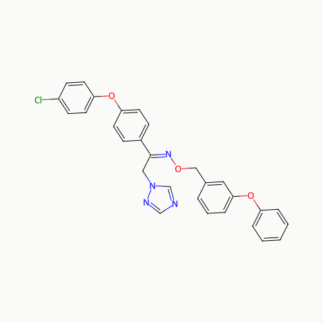 Clc1ccc(Oc2ccc(C(Cn3cncn3)=NOCc3cccc(Oc4ccccc4)c3)cc2)cc1